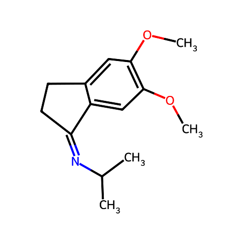 COc1cc2c(cc1OC)/C(=N\C(C)C)CC2